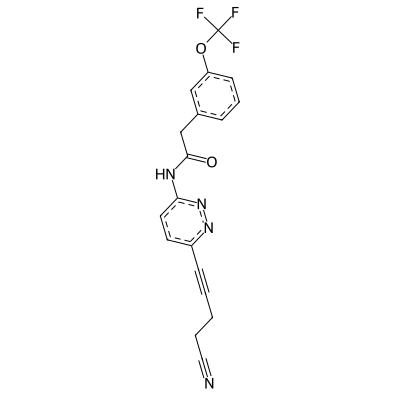 N#CCCC#Cc1ccc(NC(=O)Cc2cccc(OC(F)(F)F)c2)nn1